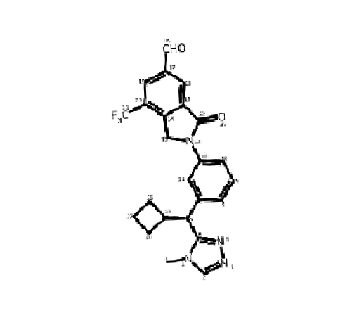 Cn1cnnc1[C@H](c1cccc(N2Cc3c(cc(C=O)cc3C(F)(F)F)C2=O)c1)C1CCC1